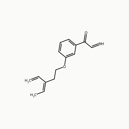 C=C/C(=C\C)CCOc1cccc(C(=O)C=N)c1